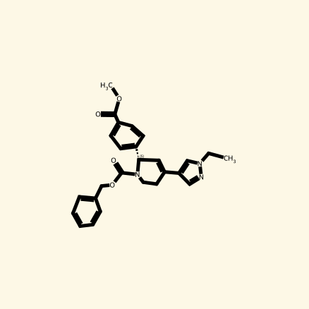 CCn1cc(C2=C[C@@H](c3ccc(C(=O)OC)cc3)N(C(=O)OCc3ccccc3)CC2)cn1